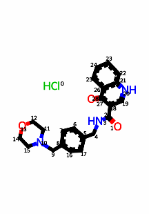 Cl.O=C(NCc1ccc(CN2CCOCC2)cc1)c1c[nH]c2ccccc2c1=O